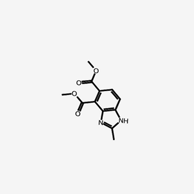 COC(=O)c1ccc2[nH]c(C)nc2c1C(=O)OC